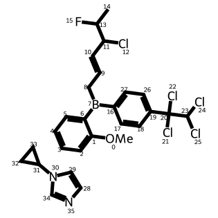 COc1ccccc1B(CC=CC(Cl)C(C)F)c1ccc(C(Cl)(Cl)C(Cl)Cl)cc1.c1cn(C2CC2)cn1